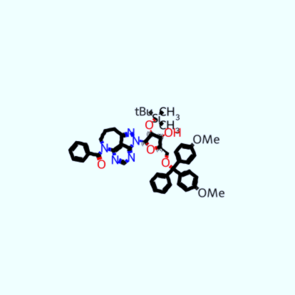 COc1ccc(C(OC[C@H]2O[C@@H](n3nc4c5c(ncnc53)N(C(=O)c3ccccc3)CCC4)[C@H](O[Si](C)(C)C(C)(C)C)[C@@H]2O)(c2ccccc2)c2ccc(OC)cc2)cc1